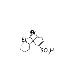 CCC(=O)C1(C2CCCCC2)CC(S(=O)(=O)O)=CC=C1Br